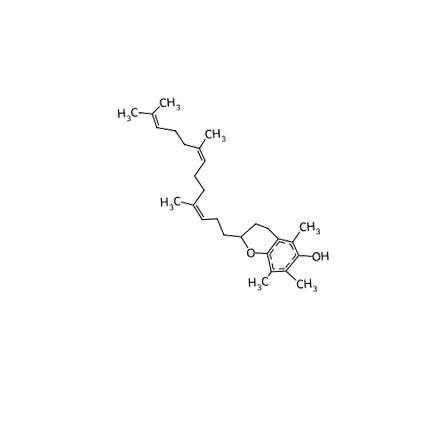 CC(C)=CCCC(C)=CCCC(C)=CCCC1CCc2c(C)c(O)c(C)c(C)c2O1